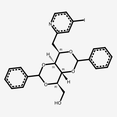 OC[C@H]1OC(c2ccccc2)O[C@@H]2[C@@H]1OC(c1ccccc1)O[C@@H]2Cc1cc(I)ccn1